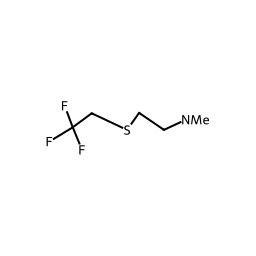 CNCCSCC(F)(F)F